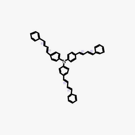 C(/C=C/c1ccc(N(c2ccc(/C=C/C=C/c3ccccc3)cc2)c2ccc(/C=C/C=C/c3ccccc3)cc2)cc1)=C\c1ccccc1